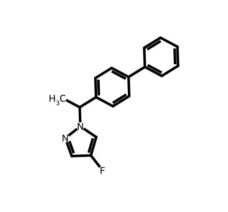 CC(c1ccc(-c2ccccc2)cc1)n1cc(F)cn1